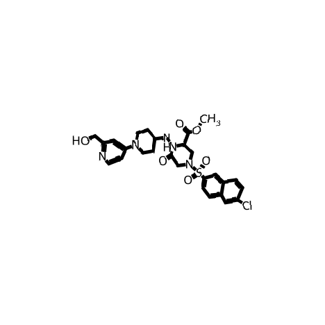 COC(=O)C1CN(S(=O)(=O)c2ccc3cc(Cl)ccc3c2)CC(=O)N1NC1CCN(c2ccnc(CO)c2)CC1